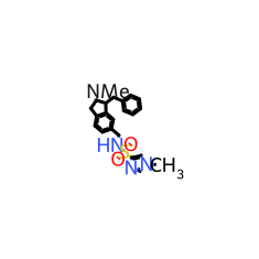 CNC1Cc2ccc(CNS(=O)(=O)c3cn(C)cn3)cc2C1Cc1ccccc1